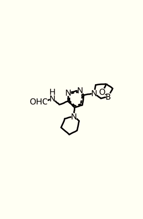 O=CNCc1nnc(N2CB3CC(C2)O3)cc1N1CCCCC1